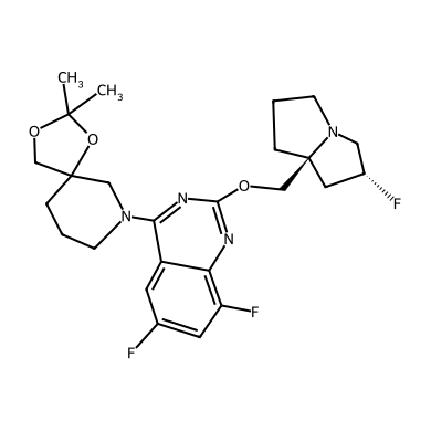 CC1(C)OCC2(CCCN(c3nc(OC[C@@]45CCCN4C[C@H](F)C5)nc4c(F)cc(F)cc34)C2)O1